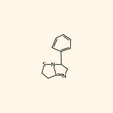 c1ccc(C2CN=C3CCSN32)cc1